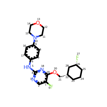 Fc1cnc(Nc2ccc(N3CCOCC3)cc2)nc1OC[C@H]1CCC[C@@H](F)C1